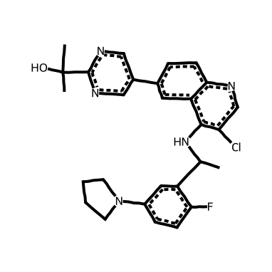 CC(Nc1c(Cl)cnc2ccc(-c3cnc(C(C)(C)O)nc3)cc12)c1cc(N2CCCC2)ccc1F